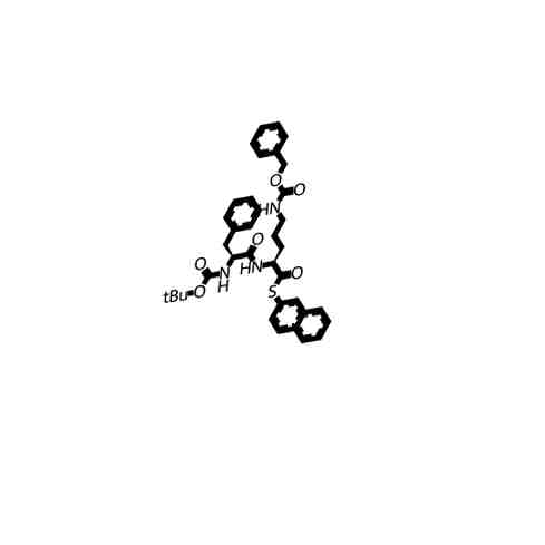 CC(C)(C)OC(=O)N[C@@H](Cc1ccccc1)C(=O)N[C@@H](CCCNC(=O)OCc1ccccc1)C(=O)Sc1ccc2ccccc2c1